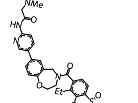 CCc1c(C(=O)N2CCOc3ccc(-c4ccc(NC(=O)CNC)nc4)cc3C2)ccc(S(C)(=O)=O)c1F